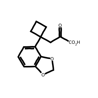 O=C(O)C(=O)CC1(c2cccc3c2OCO3)CCC1